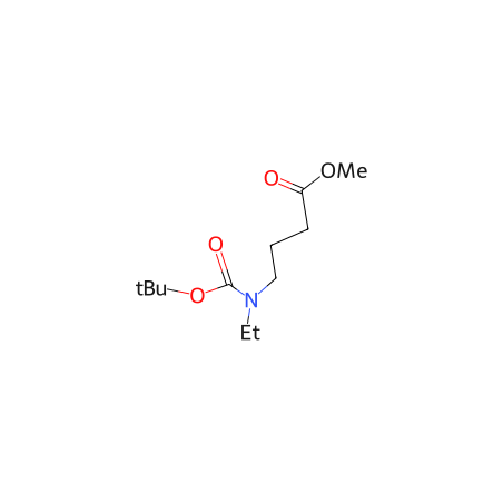 CCN(CCCC(=O)OC)C(=O)OC(C)(C)C